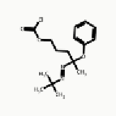 CC(C)(C)/N=N/C(C)(CCCOC(=O)Cl)Oc1ccccc1